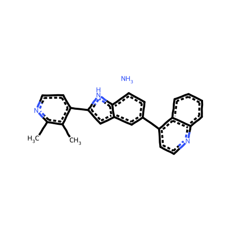 Cc1nccc(-c2cc3cc(-c4ccnc5ccccc45)ccc3[nH]2)c1C.N